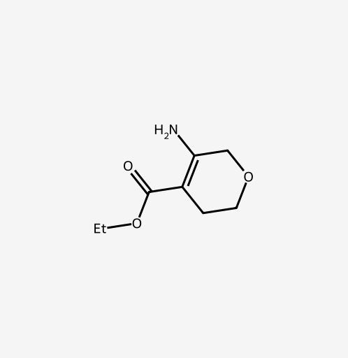 CCOC(=O)C1=C(N)COCC1